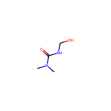 CN(C)C(=O)NCO